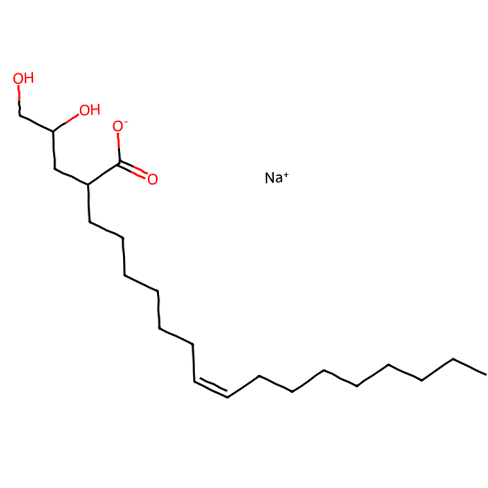 CCCCCCCC/C=C\CCCCCCC(CC(O)CO)C(=O)[O-].[Na+]